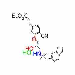 CCOC(=O)CCc1ccc(C#N)c(OCC(O)CNC(C)(C)Cc2ccc3c(c2)CCC3)c1.Cl